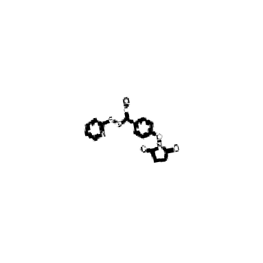 O=C=C(SSc1ccccn1)c1ccc(ON2C(=O)CCC2=O)cc1